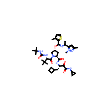 Cc1cc(C(C)/N=C(/O[C@@H]2C[C@@H](C(=O)N[C@@H](CC3CCC3)C(=O)C(=O)NC3CC3)N(C(=O)[C@@H](NC(=O)NC(C)(C)C)C(C)(C)C)C2)c2sccc2C)n(C)n1